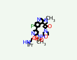 CC(C)NCCOc1ncc(-c2cc3c4c(cnc3cc2F)N(C)CC42CC(N3CCOCC3)C2=O)cc1NS(C)(=O)=O